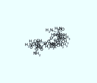 CC[C@H](C)C(NC(=O)[C@@H]1CCCN1C(=O)C(NC(=O)[C@H](C)NC)C(C)C)C(=O)N[C@@H](C)C(=O)N[C@@H](CCC(N)=O)C(=O)N[C@@H](CCCCN)C(=O)NCCCOCCOCCOCCCNC(=O)[C@H](CCCCN)NC(=O)[C@H](CCC(N)=O)NC(=O)[C@H](C)NC